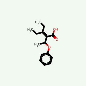 CCC(CC)=C(C(=O)O)C(C)Oc1ccccc1